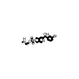 CN/C=C\OS(=O)(=O)N1Cc2cnc(C(O)c3cccc(Br)c3)cc2C1